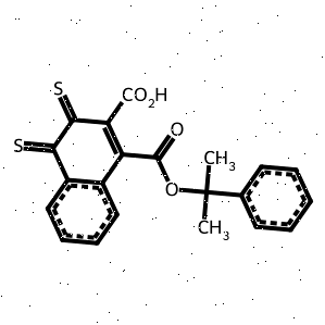 CC(C)(OC(=O)C1=C(C(=O)O)C(=S)C(=S)c2ccccc21)c1ccccc1